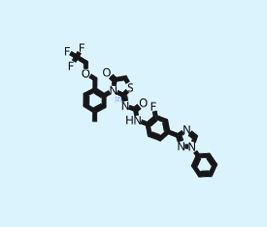 Cc1ccc(COCC(F)(F)F)c(N2C(=O)CS/C2=N\C(=O)Nc2ccc(-c3ncn(-c4ccccc4)n3)cc2F)c1